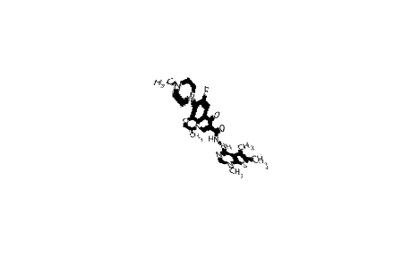 Cc1sc2c(c1C)C(NNC(=O)c1cn3c4c(c(N5CCN(C)CC5)c(F)cc4c1=O)OC[C@@H]3C)=NCN2C